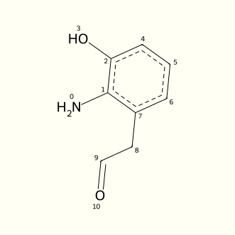 Nc1c(O)cccc1CC=O